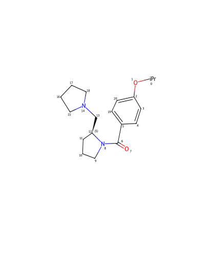 CC(C)Oc1ccc(C(=O)N2CCC[C@H]2CN2CCCC2)cc1